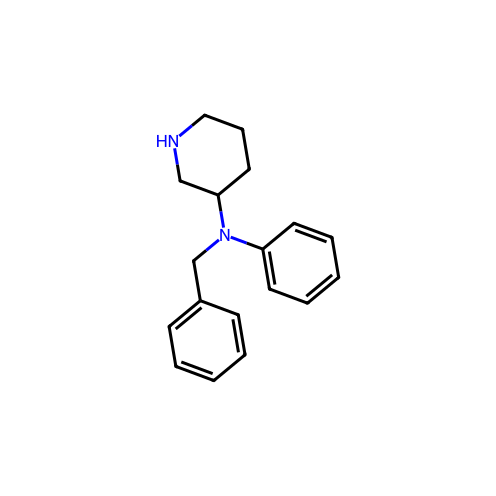 c1ccc(CN(c2ccccc2)C2CCCNC2)cc1